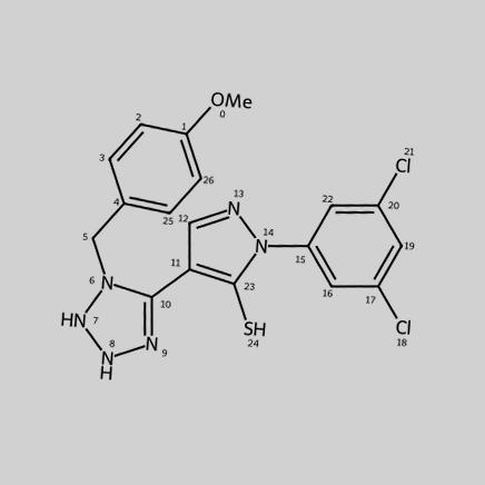 COc1ccc(CN2NNN=C2c2cnn(-c3cc(Cl)cc(Cl)c3)c2S)cc1